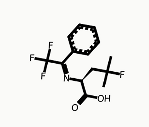 CC(C)(F)C[C@H](/N=C(\c1ccccc1)C(F)(F)F)C(=O)O